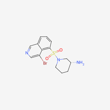 N[C@@H]1CCCN(S(=O)(=O)c2cccc3cncc(Br)c23)C1